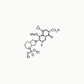 CCOP(=O)(OCC)N1CCCC2CN(c3c(F)cc4c(=O)c(C(=O)O)cn(C5CC5)c4c3OC)CC21